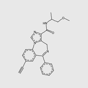 C#Cc1ccc2c(c1)C(c1ccccc1)=NCc1c(C(=O)NC(C)COC)ncn1-2